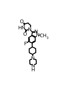 Cn1nc(N2CCC(=O)NC2=O)c2cc(F)c(C3CCC(N4CCNCC4)CC3)cc21